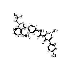 CC(C)n1cc(-c2ccc(Cl)cc2)c(=O)c(C(=O)Nc2ccc(-c3nn(CC(F)F)c4ncnc(N)c34)cc2)n1